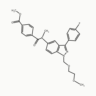 COCCOCn1nc(-c2ccc(F)cc2)c2cc(N(C)C(=O)c3ccc(C(=O)OC)cc3)ccc21